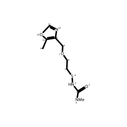 CNC(=O)NSCCOCc1ncoc1C